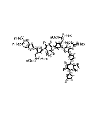 CCCCCCCCC(CCCCCC)Cc1cc(-c2c(F)c(F)c(-c3cc(CC(CCCCCC)CCCCCCCC)c(-c4cc(CC(CCCCCC)CCCCCCC)c(-c5ccc(-c6c(F)c(F)c(-c7ccc(C)s7)c7nsnc67)s5)s4)s3)c3nsnc23)sc1-c1cc(CC(CCCCCC)CCCCCCC)c(C)s1